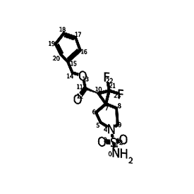 NS(=O)(=O)N1CCC2(CC1)[C@@H](C(=O)OCc1ccccc1)C2(F)F